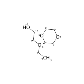 C1COCCO1.CCOCCO